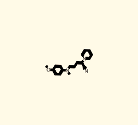 COc1ccc(N(C)/C=C/C=C(\C#N)[n+]2ccccc2)cc1